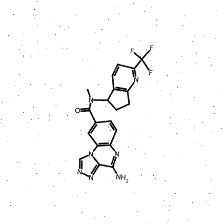 CN(C(=O)c1ccc2nc(N)c3nncn3c2c1)C1CCc2nc(C(F)(F)F)ccc21